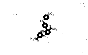 NC(=O)c1ccc2c(c1)Sc1ccc(C(N)=O)c(-c3ccc(Nc4ccc([N+](=O)[O-])cc4)cc3)c1N2